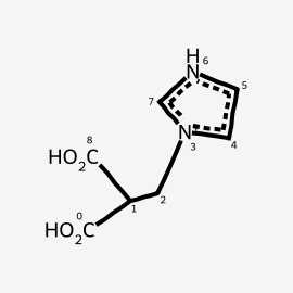 O=C(O)C(C[n+]1cc[nH]c1)C(=O)O